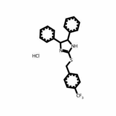 Cl.FC(F)(F)c1ccc(CSC2=NC(c3ccccc3)C(c3ccccc3)N2)cc1